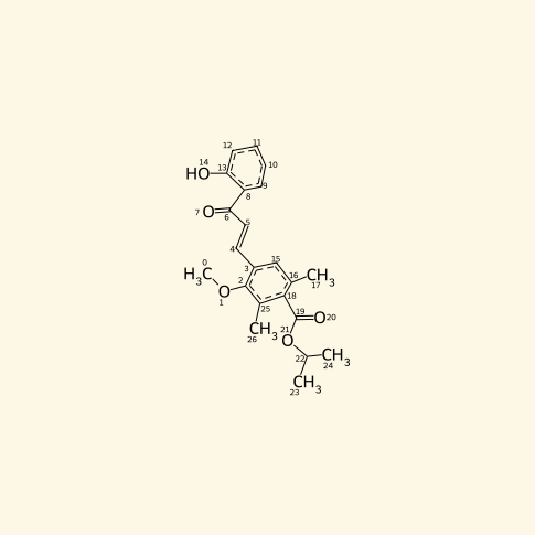 COc1c(C=CC(=O)c2ccccc2O)cc(C)c(C(=O)OC(C)C)c1C